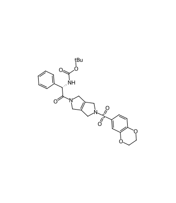 CC(C)(C)OC(=O)N[C@H](C(=O)N1CC2=C(C1)CN(S(=O)(=O)c1ccc3c(c1)OCCO3)C2)c1ccccc1